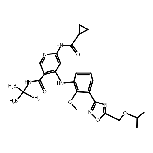 BC(B)(B)NC(=O)c1cnc(NC(=O)C2CC2)cc1Nc1cccc(-c2noc(COC(C)C)n2)c1OC